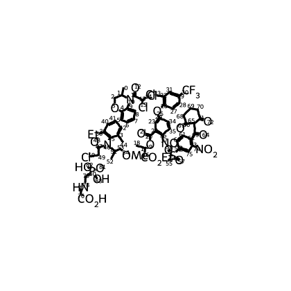 CC1COc2ccccc2N1C(=O)C(Cl)Cl.CCOC(=O)C(C)OC(=O)c1cc(Oc2ccc(C(F)(F)F)cc2Cl)ccc1[N+](=O)[O-].CCc1cccc(C)c1N(C(=O)CCl)C(C)COC.CS(=O)(=O)c1ccc(C(=O)C2C(=O)CCCC2=O)c([N+](=O)[O-])c1.O=C(O)CNCP(=O)(O)O